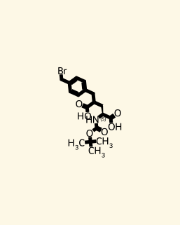 CC(C)(C)OC(=O)N[C@@H](CC(Cc1ccc(CBr)cc1)C(=O)O)C(=O)O